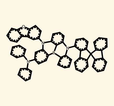 c1ccc(N(c2ccccc2)c2ccc3c(c2)N(c2ccc4oc5ccccc5c4c2)c2cccc4c2B3c2ccccc2N4c2cccc3c2-c2ccccc2C32c3ccccc3-c3ccccc32)cc1